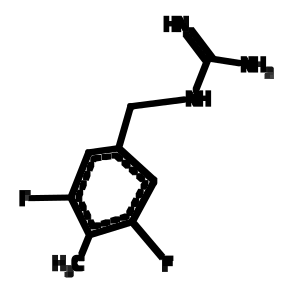 Cc1c(F)cc(CNC(=N)N)cc1F